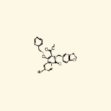 COC(=O)c1c(OCCc2ccccc2)c2cc(Br)ccc2c(=O)n1Cc1ccc2c(c1)CCO2